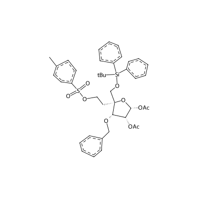 CC(=O)O[C@H]1O[C@](CCOS(=O)(=O)c2ccc(C)cc2)(CO[Si](c2ccccc2)(c2ccccc2)C(C)(C)C)[C@@H](OCc2ccccc2)[C@H]1OC(C)=O